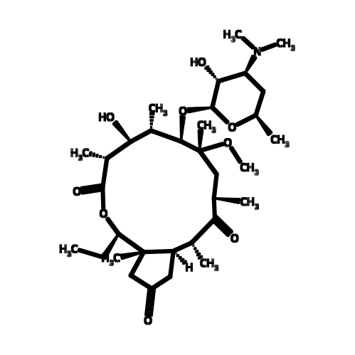 CC[C@H]1OC(=O)[C@H](C)[C@@H](O)[C@H](C)[C@@H](O[C@@H]2O[C@H](C)C[C@H](N(C)C)[C@H]2O)[C@](C)(OC)C[C@@H](C)C(=O)[C@H](C)[C@H]2CC(=O)C[C@@]21C